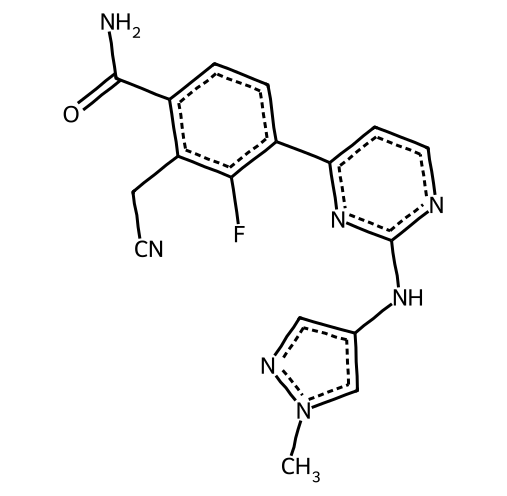 Cn1cc(Nc2nccc(-c3ccc(C(N)=O)c(CC#N)c3F)n2)cn1